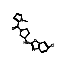 Cn1cccc1C(=O)N1CC[C@@H](Nc2nc3ccc(Cl)cc3o2)C1